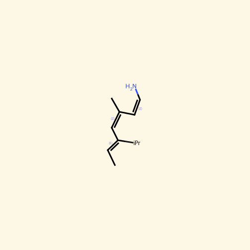 C/C=C(/C=C(C)\C=C/N)C(C)C